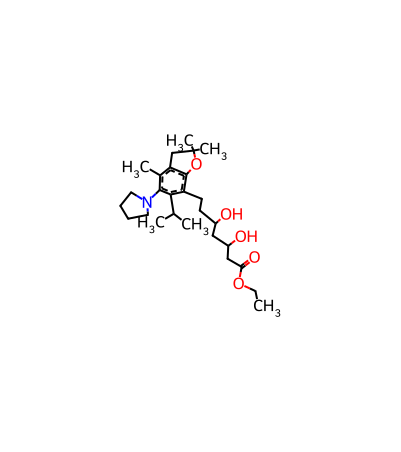 CCOC(=O)CC(O)CC(O)CCc1c2c(c(C)c(N3CCCC3)c1C(C)C)CC(C)(C)O2